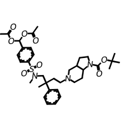 CC(=O)OC(OC(C)=O)c1ccc(S(=O)(=O)N(C)CC(C)(CCN2CCC3C(CCN3C(=O)OC(C)(C)C)C2)c2ccccc2)cc1